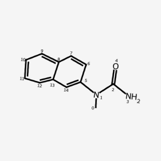 CN(C(N)=O)c1ccc2ccccc2c1